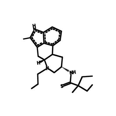 CCCN1C[C@@H](NC(=S)C(C)(CC)CC)CC2c3cccc4[nH]c(C)c(c34)C[C@H]21